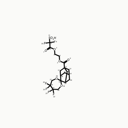 O=C(OCCOC(=O)C(F)(F)S(=O)(=O)O)C12CC3CC(C1)C1(OCC(F)(F)C(F)(F)CO1)C(C3)C2